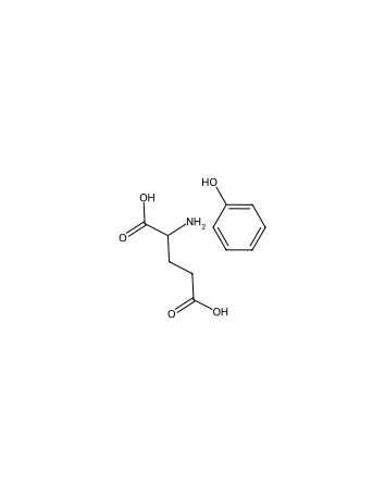 NC(CCC(=O)O)C(=O)O.Oc1ccccc1